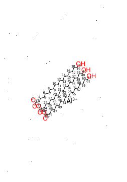 O=C([O-])CCCCCCCCCCCCCCCCCO.O=C([O-])CCCCCCCCCCCCCCCCCO.O=C([O-])CCCCCCCCCCCCCCCCCO.[Al+3]